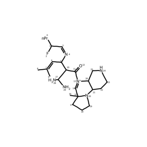 CCCC(F)/C=N\C(C=C(C)C)C(C(=O)[N+]1=CC2(C)CCCN2C2CCNCC21)C(N)N